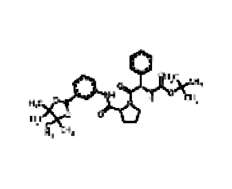 CC(C)(C)OC(=O)N[C@@H](C(=O)N1CCCC1C(=O)Nc1cccc(B2OC(C)(C)C(C)(C)O2)c1)c1ccccc1